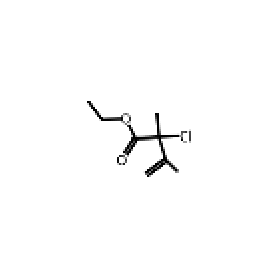 C=C(C)C(C)(Cl)C(=O)OCC